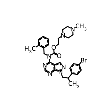 Cc1ccccc1CN(C(=O)OCCN1CCN(C)CC1)c1ncnc2c1cnn2CC(C)c1ccc(Br)cc1